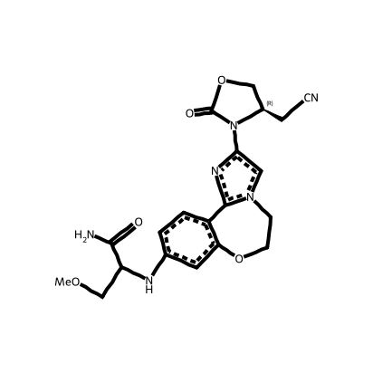 COCC(Nc1ccc2c(c1)OCCn1cc(N3C(=O)OC[C@H]3CC#N)nc1-2)C(N)=O